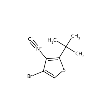 [C-]#[N+]c1c(Br)csc1C(C)(C)C